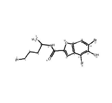 CC(C)CCCC(C)NC(=O)c1cc2c(Br)c(O)c(Br)cc2o1